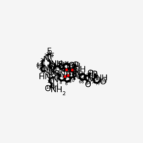 CC(C)(C)c1ccc(CC(NC(=O)C(CCC(N)=O)NC(=O)[C@@H]2CC[C@@H]3CCN(CC(F)F)C[C@H](NC(=O)c4cc5cc(C(F)(F)P(=O)(O)O)ccc5s4)C(=O)N32)C(=O)N2CCN(CCNc3ccc4c(c3)C(=O)N(C3CCC(=O)NC3=O)C4=O)CC2)cc1